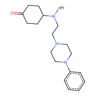 CCCN(CCN1CCN(c2ccccc2)CC1)C1CCC(=O)CC1